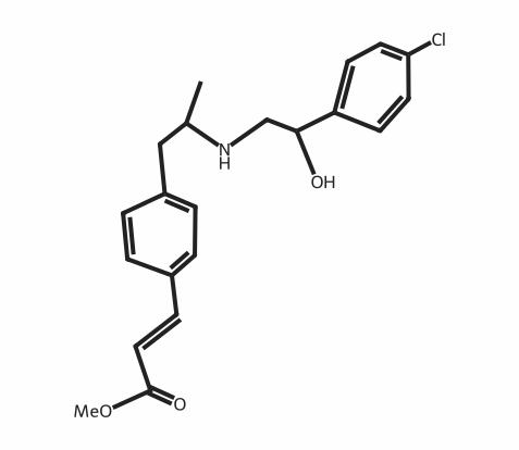 COC(=O)C=Cc1ccc(CC(C)NCC(O)c2ccc(Cl)cc2)cc1